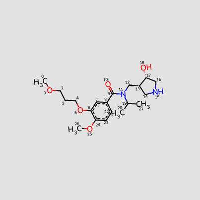 COCCCOc1cc(C(=O)N(C[C@@H]2CNC[C@H]2O)C(C)C)ccc1OC